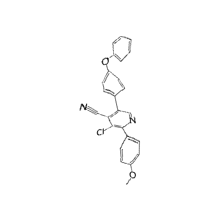 COc1ccc(-c2ncc(-c3ccc(Oc4ccccc4)cc3)c(C#N)c2Cl)cc1